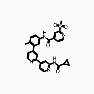 Cc1ccc(NC(=O)c2ccnc(S(C)(=O)=O)c2)cc1-c1ccnc(-c2ccnc(NC(=O)C3CC3)c2)c1